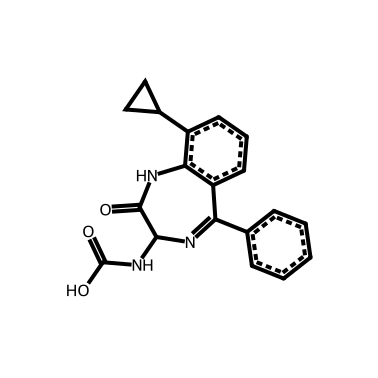 O=C(O)NC1N=C(c2ccccc2)c2cccc(C3CC3)c2NC1=O